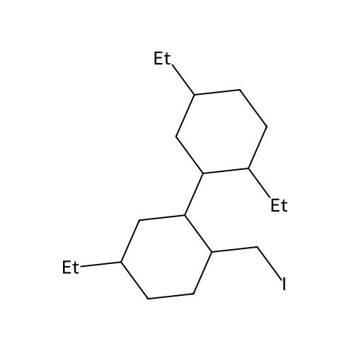 CCC1CCC(CC)C(C2CC(CC)CCC2CI)C1